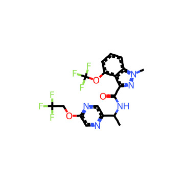 CC(NC(=O)c1nn(C)c2cccc(OC(F)(F)F)c12)c1cnc(OCC(F)(F)F)cn1